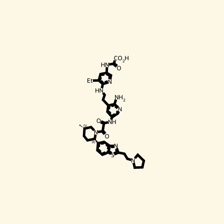 CCc1cc(NC(=O)C(=O)O)cnc1NCCc1cc(NC(=O)C(=O)N2C[C@@H](C)CC[C@@H]2c2ccc3sc(CCN4CCCC4)nc3c2)cnc1N